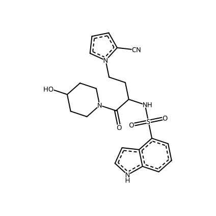 N#Cc1cccn1CCC(NS(=O)(=O)c1cccc2[nH]ccc12)C(=O)N1CCC(O)CC1